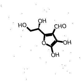 O=Cc1c([C@H](O)CO)oc(O)c1O